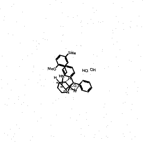 COc1ccc(SC)cc1CN[C@@H]1[C@@H]2CCN([C@@H](C(=O)O)C2)[C@@H]1C(c1ccccc1)c1ccccc1.Cl.Cl